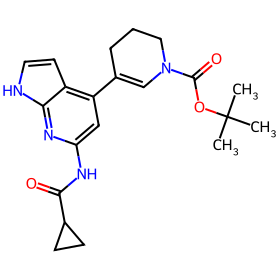 CC(C)(C)OC(=O)N1C=C(c2cc(NC(=O)C3CC3)nc3[nH]ccc23)CCC1